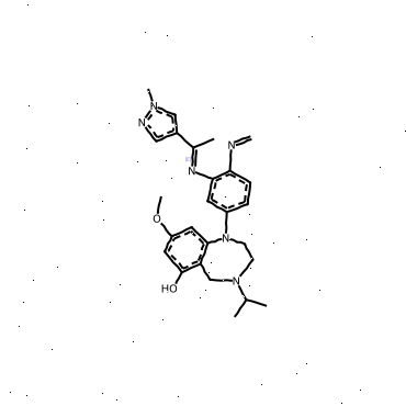 C=Nc1ccc(N2CCN(C(C)C)Cc3c(O)cc(OC)cc32)cc1/N=C(\C)c1cnn(C)c1